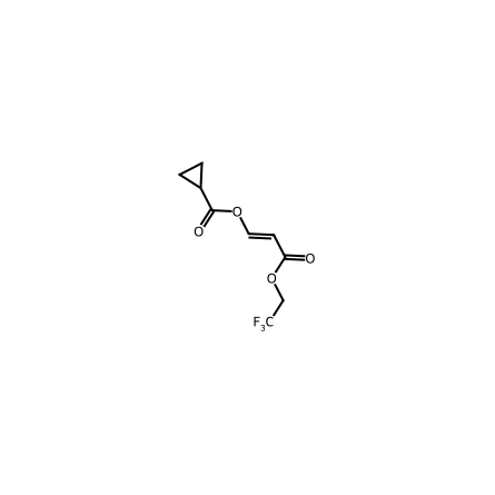 O=C(C=COC(=O)C1CC1)OCC(F)(F)F